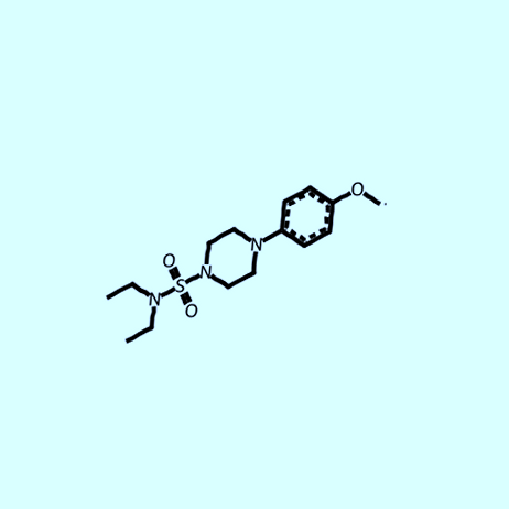 [CH2]Oc1ccc(N2CCN(S(=O)(=O)N(CC)CC)CC2)cc1